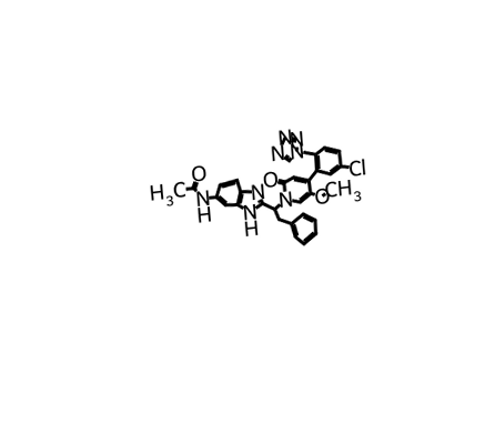 COc1cn(C(Cc2ccccc2)c2nc3ccc(NC(C)=O)cc3[nH]2)c(=O)cc1-c1cc(Cl)ccc1-n1cnnn1